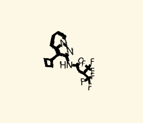 O=C(CC(C(F)(F)F)C(F)(F)F)Nc1nn2ccccc2c1C1CCC1